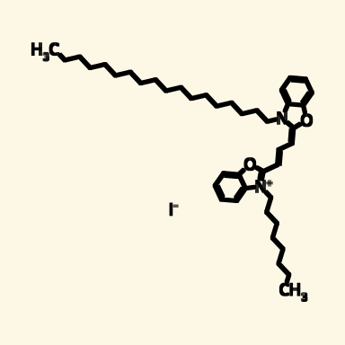 CCCCCCCCCCCCCCCCCCN1C(=CC=Cc2oc3ccccc3[n+]2CCCCCCCC)Oc2ccccc21.[I-]